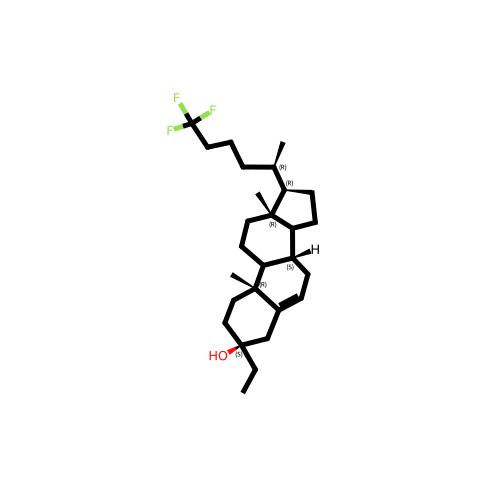 CC[C@]1(O)CC[C@@]2(C)C(=CC[C@@H]3C2CC[C@@]2(C)C3CC[C@@H]2[C@H](C)CCCC(F)(F)F)C1